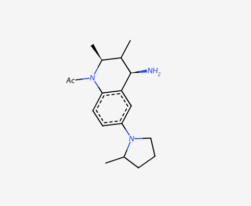 CC(=O)N1c2ccc(N3CCCC3C)cc2[C@H](N)C(C)[C@@H]1C